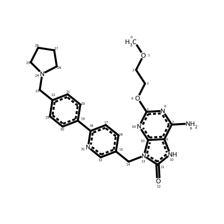 COCCOc1nc(N)c2[nH]c(=O)n(Cc3ccc(-c4ccc(CN5CCCC5)cc4)nc3)c2n1